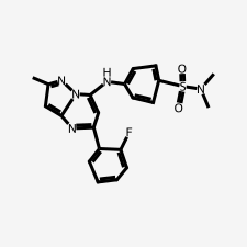 Cc1cc2nc(-c3ccccc3F)cc(Nc3ccc(S(=O)(=O)N(C)C)cc3)n2n1